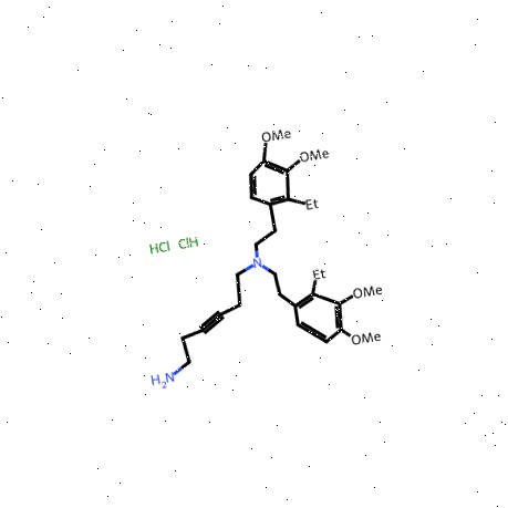 CCc1c(CCN(CCC#CCCN)CCc2ccc(OC)c(OC)c2CC)ccc(OC)c1OC.Cl.Cl